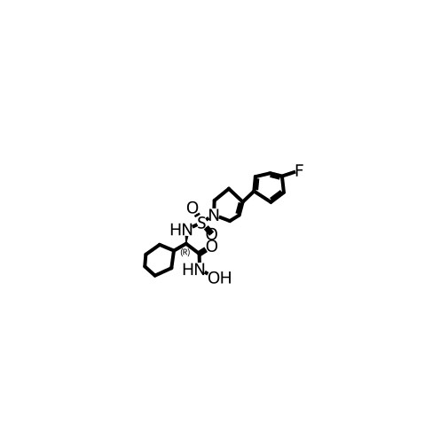 O=C(NO)[C@H](NS(=O)(=O)N1CC=C(c2ccc(F)cc2)CC1)C1CCCCC1